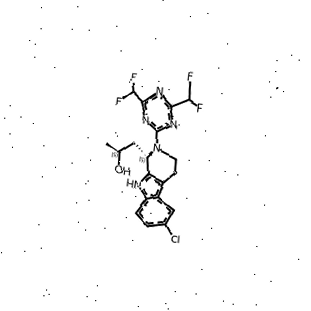 C[C@H](O)C[C@H]1c2[nH]c3ccc(Cl)cc3c2CCN1c1nc(C(F)F)nc(C(F)F)n1